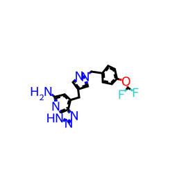 Nc1cc(Cc2cnn(Cc3ccc(OC(F)F)cc3)c2)c2nn[nH]c2n1